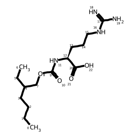 CCCCC(CC)COC(=O)N[C@@H](CCCNC(=N)N)C(=O)O